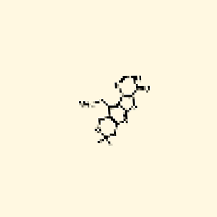 COCc1c2c(nc3sc4c(=O)[nH]cnc4c13)CC(C)(C)OC2